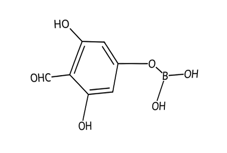 O=Cc1c(O)cc(OB(O)O)cc1O